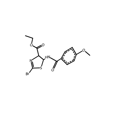 CCOC(=O)C1N=C(Br)SC1NC(=O)c1ccc(OC)cc1